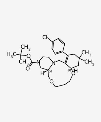 CC1(C)CC(c2ccc(Cl)cc2)=C2CN3CCN(C(=O)OC(C)(C)C)C[C@H]3COCCCO[C@@H]2C1